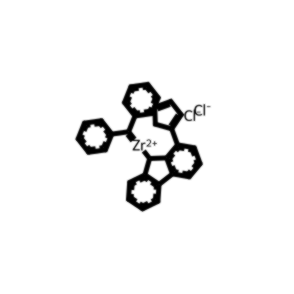 C1=CCC(c2cccc3c2[CH]([Zr+2]=[C](c2ccccc2)c2ccccc2)c2ccccc2-3)=C1.[Cl-].[Cl-]